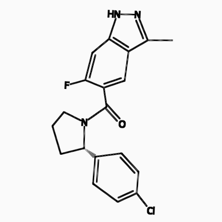 Cc1n[nH]c2cc(F)c(C(=O)N3CCC[C@H]3c3ccc(Cl)cc3)cc12